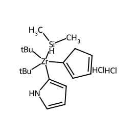 C[SiH](C)[Zr]([C]1=CC=CC1)([c]1ccc[nH]1)([C](C)(C)C)[C](C)(C)C.Cl.Cl